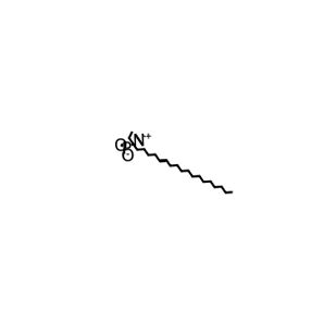 CCCCCCCCCCCCC=CCCCCC(CC)(P(=O)=O)[N+](C)(C)C